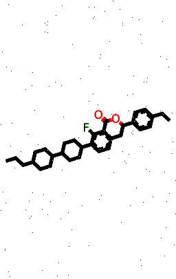 CCCC1CCC(C2CCC(c3ccc4c(c3F)C(=O)OC(c3ccc(CC)cc3)C4)CC2)CC1